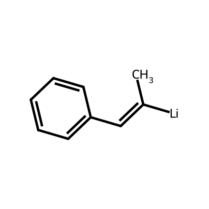 [Li]/[C](C)=C/c1ccccc1